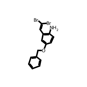 Nc1ccc(OCc2ccccc2)cc1C=C(Br)Br